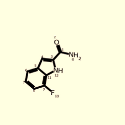 NC(=O)c1cc2cccc(F)c2[nH]1